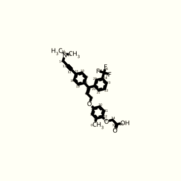 Cc1cc(OCC=C(c2ccc(C#CCN(C)C)cc2)c2cccc(C(F)(F)F)c2)ccc1OCC(=O)O